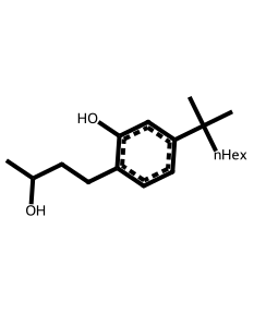 CCCCCCC(C)(C)c1ccc(CCC(C)O)c(O)c1